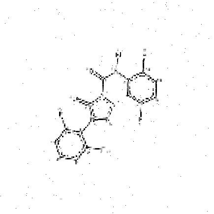 CCN(C(=O)n1nnn(-c2c(F)cccc2F)c1=O)c1cc(F)ccc1F